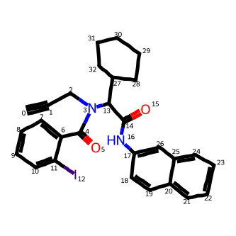 C#CCN(C(=O)c1ccccc1I)C(C(=O)Nc1ccc2ccccc2c1)C1CCCCC1